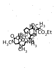 CCOC(=O)C(C)(C)NC(=O)C1CCCN1C(=O)C(C)(C)NC(=O)CN(C)C(=O)CN(C)C(=O)OC(C)(C)C